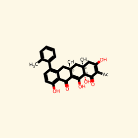 CC(=O)C1=C(O)C[C@]2(C)C[C@]3(C)Cc4c(-c5ccccc5C)ccc(O)c4C(=O)C3=C(O)[C@]2(O)C1=O